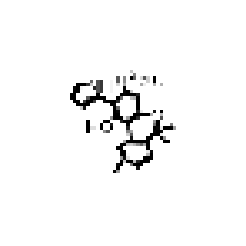 CCCCCc1cc2c(c(O)c1-c1ccc[nH]1)-c1cc(C)ccc1C(C)(C)O2